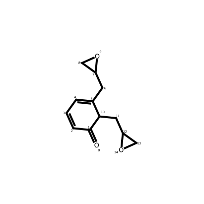 O=C1C=CC=C(CC2CO2)C1CC1CO1